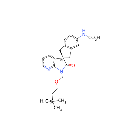 C[Si](C)(C)CCOCN1C(=O)[C@]2(Cc3ccc(NC(=O)O)cc3C2)c2cccnc21